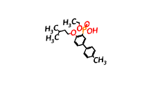 CCOP(=O)(O)c1cc(-c2ccc(C)cc2)ccc1OCCC(C)C